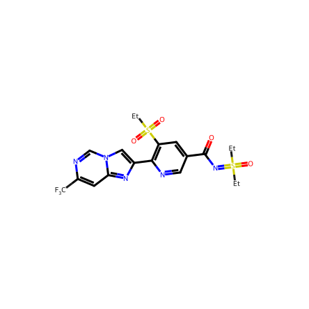 CCS(=O)(=O)c1cc(C(=O)N=S(=O)(CC)CC)cnc1-c1cn2cnc(C(F)(F)F)cc2n1